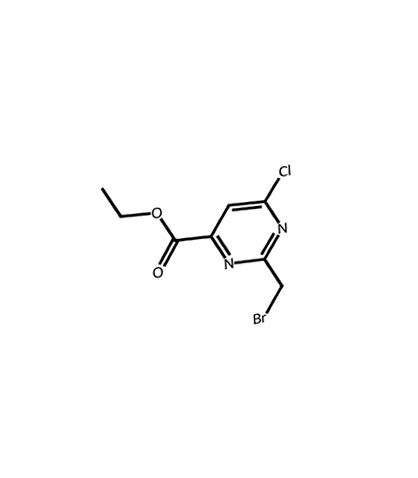 CCOC(=O)c1cc(Cl)nc(CBr)n1